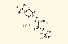 Cl.N[C@@H](CCc1ccc(C(F)(F)F)cc1)C(=O)OCC(F)(F)F